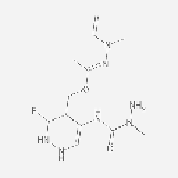 C=CN(C)/N=C(\C)OCC1C(NC(=O)N(C)N)=CNNC1F